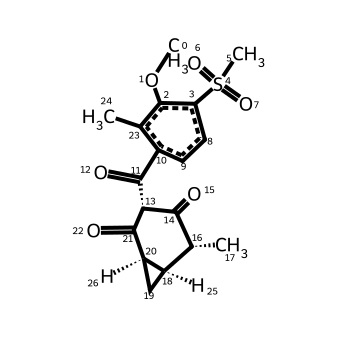 COc1c(S(C)(=O)=O)ccc(C(=O)[C@@H]2C(=O)[C@H](C)[C@H]3C[C@H]3C2=O)c1C